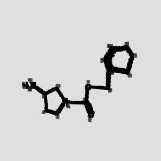 NC1CCN(C(=O)OCc2ccccc2)C1